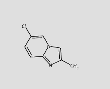 Cc1[c]n2cc(Cl)ccc2n1